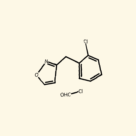 Clc1ccccc1Cc1ccon1.O=CCl